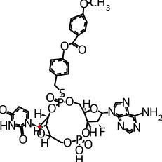 COc1ccc(C(=O)Oc2ccc(CS[P@]3(=O)OC[C@H]4O[C@@H](n5cnc6c(N)ncnc65)[C@H](F)[C@@H]4OP(=O)(O)OC[C@H]4O[C@@H](n5ccc(=O)[nH]c5=O)[C@H](O3)[C@@H]4F)cc2)cc1